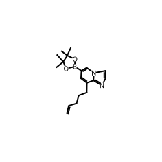 C=CCCCc1cc(B2OC(C)(C)C(C)(C)O2)cn2ccnc12